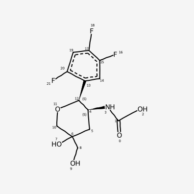 O=C(O)N[C@H]1CC(O)(CO)CO[C@H]1c1cc(F)c(F)cc1F